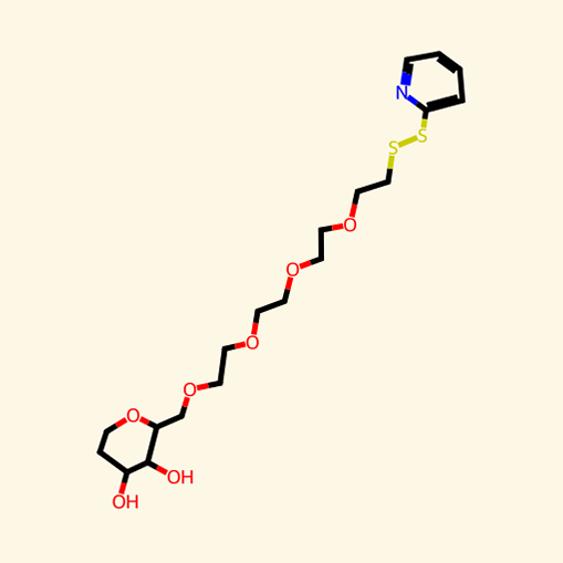 OC1CCOC(COCCOCCOCCOCCSSc2ccccn2)C1O